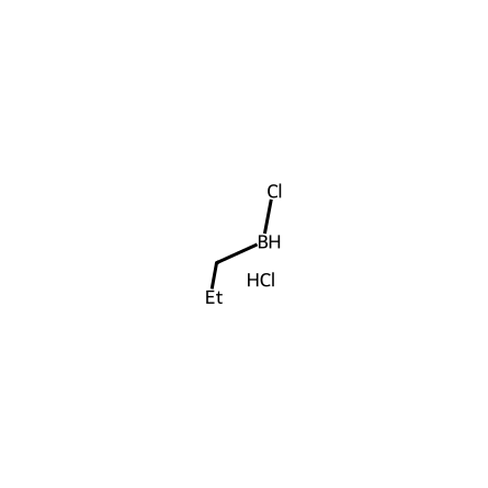 CCCBCl.Cl